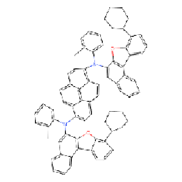 Cc1ccccc1N(c1ccc2ccc3c(N(c4ccccc4C)c4cc5ccccc5c5c4oc4c(C6CCCCC6)cccc45)ccc4ccc1c2c43)c1cc2ccccc2c2c1oc1c(C3CCCCC3)cccc12